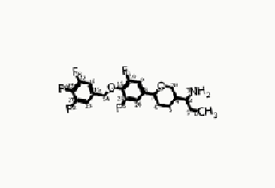 CCC(N)C1CCC(c2cc(F)c(OCc3cc(F)c(F)c(F)c3)c(F)c2)OC1